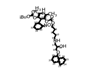 CC1=C(OC(=O)OCCCCCNCC(O)COc2cccc3ccccc23)C(c2ccccc2[N+](=O)[O-])C(OC(=O)OCC(C)C)=C(C)N1